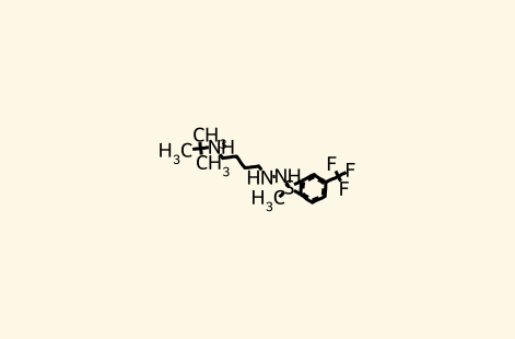 CC(C)(C)NCCCCNNS1(C)c2ccc(C(F)(F)F)cc21